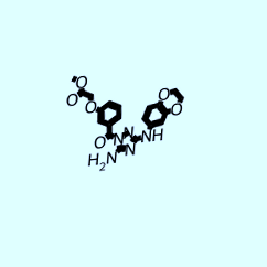 COC(=O)COc1cccc(C(=O)n2nc(Nc3ccc4c(c3)OCCO4)nc2N)c1